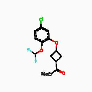 COC(=O)C1CC(Oc2cc(Cl)ccc2OC(F)F)C1